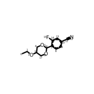 CCOC1COC(c2ccc(C#N)cc2F)OC1